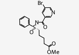 COC(=O)CCCC[S@@](=O)(=NC(=O)c1cncc(Br)c1)c1ccccc1